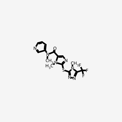 CN(C(=O)c1cnc(Sc2nnc(C(F)(F)F)n2C)n1C)c1cccnc1